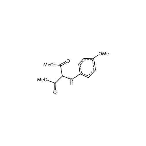 COC(=O)C(Nc1ccc(OC)cc1)C(=O)OC